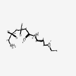 CCOCCCNC(=O)CC(C)(C)CC(C)(C)CN